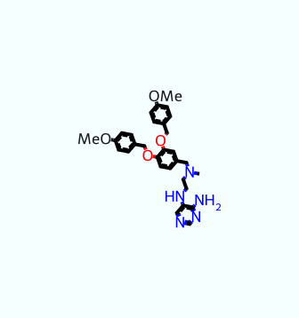 COc1ccc(COc2ccc(CN(C)CCNc3cncnc3N)cc2OCc2ccc(OC)cc2)cc1